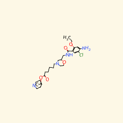 CCOc1cc(N)c(Cl)cc1C(=O)NCC1CN(CCCCCC(=O)OC2CN3CCC2CC3)CCO1